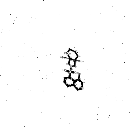 Cc1cncc2cccc(S(=O)(=O)N3C[C@H]4CCCN[C@H]4C3)c12